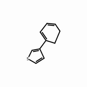 C1=CCCC(c2ccsc2)=C1